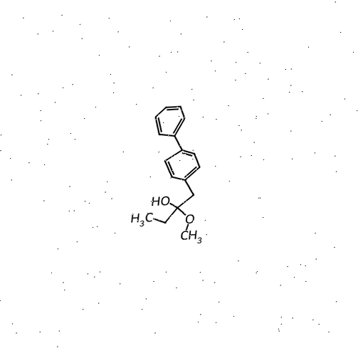 CCC(O)(Cc1ccc(-c2ccccc2)cc1)OC